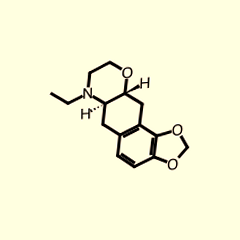 CCN1CCO[C@@H]2Cc3c(ccc4c3OCO4)C[C@H]21